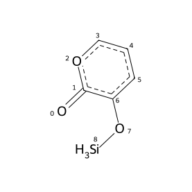 O=c1occcc1O[SiH3]